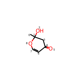 CC1(O)CC(=O)C=CO1